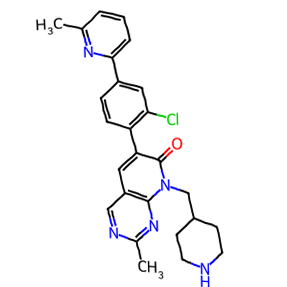 Cc1cccc(-c2ccc(-c3cc4cnc(C)nc4n(CC4CCNCC4)c3=O)c(Cl)c2)n1